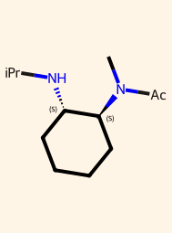 CC(=O)N(C)[C@H]1CCCC[C@@H]1NC(C)C